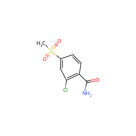 CS(=O)(=O)c1ccc(C(N)=O)c(Cl)c1